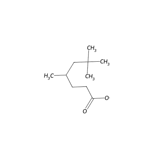 CC(CCC([O])=O)CC(C)(C)C